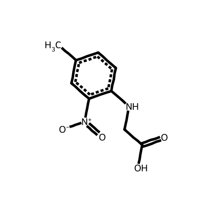 Cc1ccc(NCC(=O)O)c([N+](=O)[O-])c1